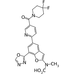 CN(C(=O)O)c1cc2cc(-c3ccc(C(=O)N4CCC(F)(F)CC4)cn3)cc(-c3nnco3)c2o1